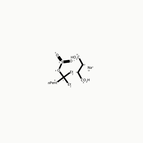 CCCCCC(CC)(CC)O[S-](=O)=O.O=C(O)CCC(=O)O.[Na+]